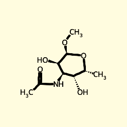 CO[C@H]1O[C@H](C)[C@H](O)[C@@H](NC(C)=O)[C@H]1O